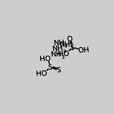 N.N.N.N.O=S(O)O.OS(O)=S